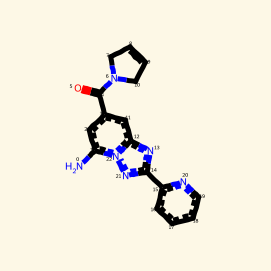 Nc1cc(C(=O)N2CC=CC2)cc2nc(-c3ccccn3)nn12